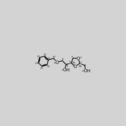 OC[C@@H]1OC[C@H](C(O)COCc2ccccc2)O1